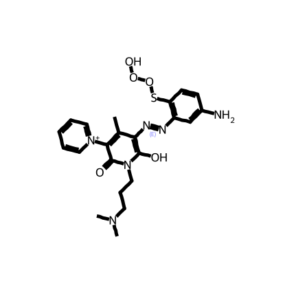 Cc1c(/N=N/c2cc(N)ccc2SOOO)c(O)n(CCCN(C)C)c(=O)c1-[n+]1ccccc1